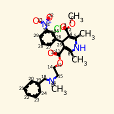 COC(=O)C1=C(C)NC(C)=C(C(=O)OCCN(C)Cc2ccccc2)C1c1cccc([N+](=O)[O-])c1Cl